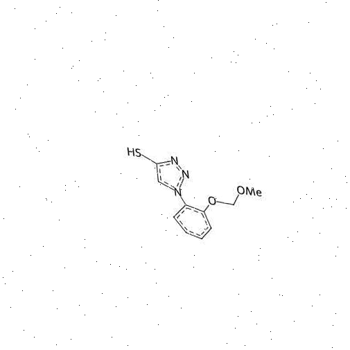 COCOc1ccccc1-n1cc(S)nn1